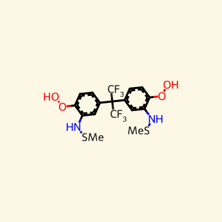 CSNc1cc(C(c2ccc(OO)c(NSC)c2)(C(F)(F)F)C(F)(F)F)ccc1OO